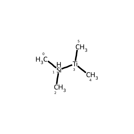 C[SiH](C)[Ti]([CH3])[CH3]